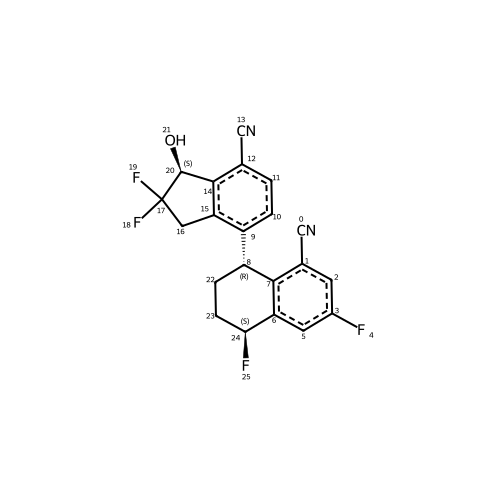 N#Cc1cc(F)cc2c1[C@@H](c1ccc(C#N)c3c1CC(F)(F)[C@H]3O)CC[C@@H]2F